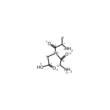 CC(N)C(=O)N(CC(=O)O)C(=O)CN